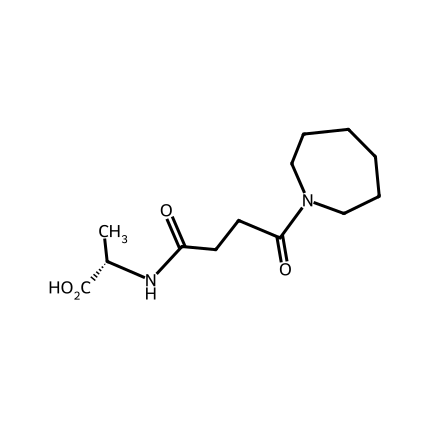 C[C@H](NC(=O)CCC(=O)N1CCCCCC1)C(=O)O